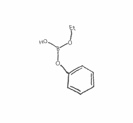 CCOB(O)Oc1ccccc1